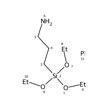 CCO[Si](CCCN)(OCC)OCC.[P]